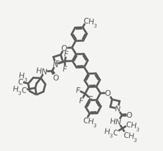 Cc1ccc(C(OC2CN(C(=O)NC(C)(C)C)C2)c2ccc(-c3ccc(C(OC4CN(C(=O)NC56CCC(CC(C)C5)C(C)C6)C4)c4ccc(C)cc4)c(C(F)(F)F)c3)cc2C(F)(F)F)cc1